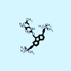 CC(C)C[C@H](NC(=O)OCC1c2cc(C#C[Si](C)(C)C)ccc2-c2ccc(C#C[Si](C)(C)C)cc21)C(=O)O